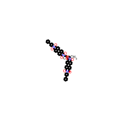 CC(COCC(C)N1C(=O)c2ccc3c4ccc5c6c(ccc(c7ccc(c2c37)C1=O)c64)C(=O)N(c1ccc(-c2ccccc2)cc1)C5=O)N1C(=O)c2ccc3c4ccc5c6c(ccc(c7ccc(c2c37)C1=O)c64)C(=O)N(c1ccc(-c2ccccc2)cc1)C5=O